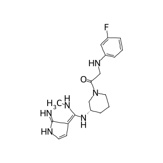 CN/C(N[C@H]1CCCN(C(=O)CNc2cccc(F)c2)C1)=C1/C=CNC1=N